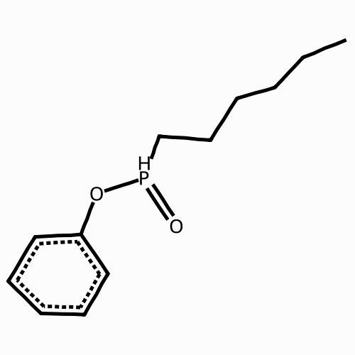 CCCCCC[PH](=O)Oc1ccccc1